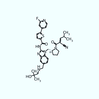 CC(C)C=C(C#N)C(=O)N1CCC[C@@H]1Cn1c(NC(=O)c2ccc(-c3ccnc(F)c3)s2)nc2cc(CNCC(C)(C)O)ccc21